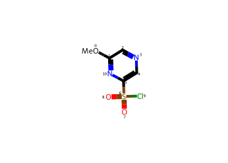 COc1cncc(S(=O)(=O)Cl)n1